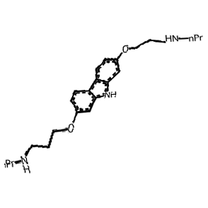 CCCNCCCOc1ccc2c(c1)[nH]c1cc(OCCCNCCC)ccc12